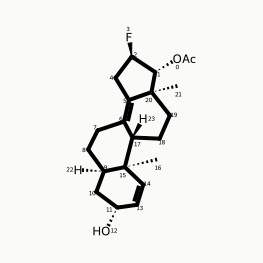 CC(=O)O[C@H]1[C@H](F)CC2=C3CC[C@@H]4C[C@@H](O)C=C[C@]4(C)[C@H]3CC[C@@]21C